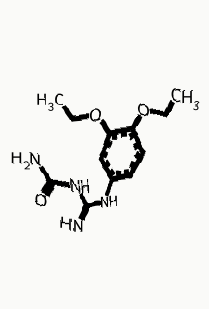 CCOc1ccc(NC(=N)NC(N)=O)cc1OCC